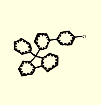 Clc1ccc(-c2cccc(C3(c4ccccc4)c4ccccc4-c4ccccc43)c2)cc1